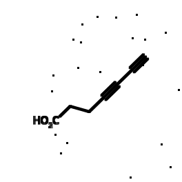 C#CC#CCCC(=O)O